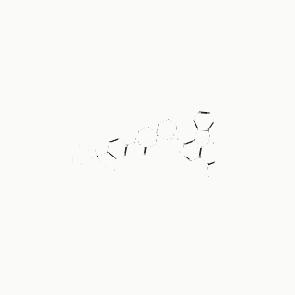 CC(C)(C)c1ccc(N2CCC3(CCCN(c4ncc(C(N)=O)c5[nH]c6ccccc6c45)C3)CC2=O)cc1